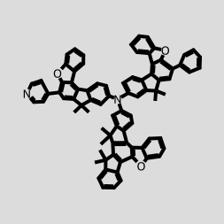 CC1(C)c2cc(N(c3ccc4c(c3)C(C)(C)c3cc(-c5ccncc5)c5oc6ccccc6c5c3-4)c3ccc4c(c3)C(C)(C)c3c5c(c6oc7ccccc7c6c3-4)-c3ccccc3C5(C)C)ccc2-c2c1cc(-c1ccccc1)c1oc3ccccc3c21